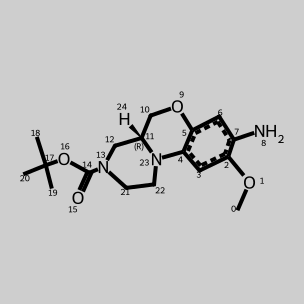 COc1cc2c(cc1N)OC[C@H]1CN(C(=O)OC(C)(C)C)CCN21